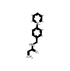 C=CC(=O)NCc1ccc(-[n+]2ccccc2)cc1